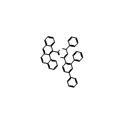 C1=C(c2ccc(-c3ccccc3)cc2-c2ccccc2)N=C(c2c3ccccc3cc3ccc4ccccc4c23)NC1c1ccccc1